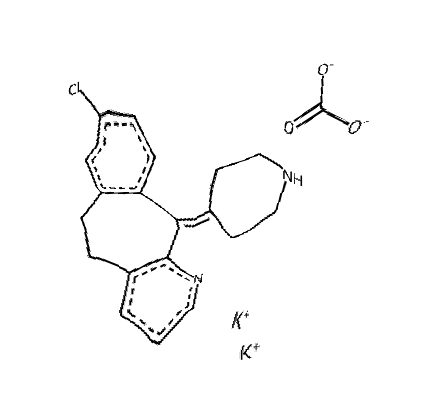 Clc1ccc2c(c1)CCc1cccnc1C2=C1CCNCC1.O=C([O-])[O-].[K+].[K+]